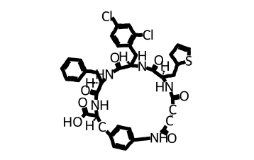 O=C1CCC(=O)N[C@H](CC2CC=CS2)C(=O)N[C@@H](Cc2ccc(Cl)cc2Cl)C(=O)N[C@H](Cc2ccccc2)C(=O)N[C@H](C(=O)O)Cc2ccc(cc2)N1